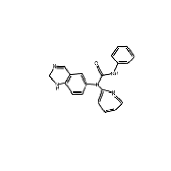 O=C(Nc1ccccc1)N(c1ccc2c(c1)C=NCN2)c1ccccn1